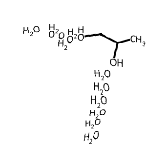 CC(O)CO.O.O.O.O.O.O.O.O.O.O